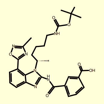 Cc1noc(-c2cccc3nc(NC(=O)c4cccc(C(=O)O)c4)n([C@@H](C)CCCCNC(=O)OC(C)(C)C)c23)n1